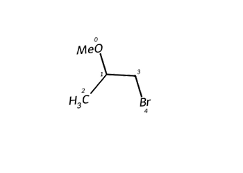 COC(C)CBr